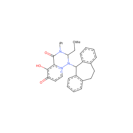 COCC1N(C(C)C)C(=O)c2c(O)c(=O)ccn2N1C1c2ccccc2CCc2ccccc21